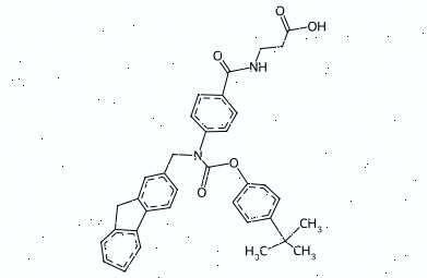 CC(C)(C)c1ccc(OC(=O)N(Cc2ccc3c(c2)Cc2ccccc2-3)c2ccc(C(=O)NCCC(=O)O)cc2)cc1